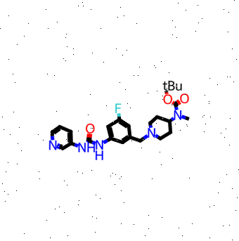 CN(C(=O)OC(C)(C)C)C1CCN(Cc2cc(F)cc(NC(=O)Nc3cccnc3)c2)CC1